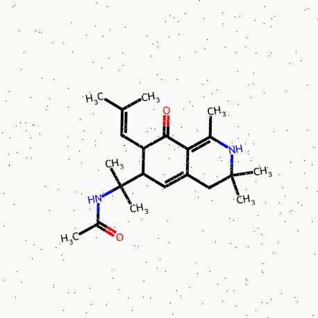 CC(=O)NC(C)(C)C1C=C2CC(C)(C)NC(C)=C2C(=O)C1C=C(C)C